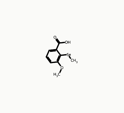 COc1cccc(C(=O)O)c1[Se]C